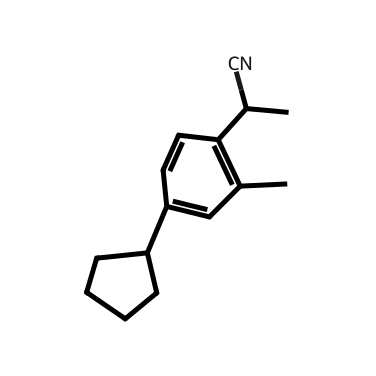 Cc1cc(C2CCCC2)ccc1C(C)C#N